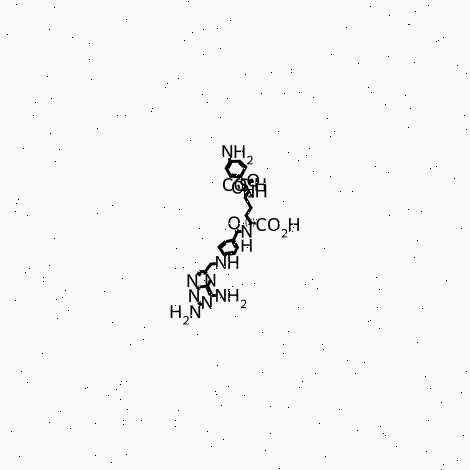 Nc1ccc(S(=O)(=O)NCCC[C@H](NC(=O)c2ccc(NCc3cnc4nc(N)nc(N)c4n3)cc2)C(=O)O)c(C(=O)O)c1